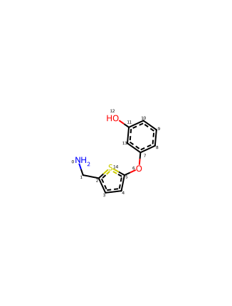 NCc1ccc(Oc2cccc(O)c2)s1